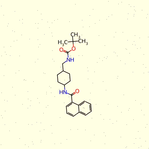 CC(C)(C)OC(=O)NCC1CCC(NC(=O)c2cccc3ccccc23)CC1